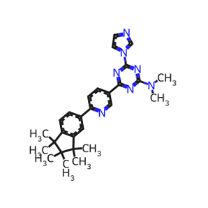 CN(C)c1nc(-c2ccc(-c3ccc4c(c3)C(C)(C)C(C)(C)C4(C)C)nc2)nc(-n2ccnc2)n1